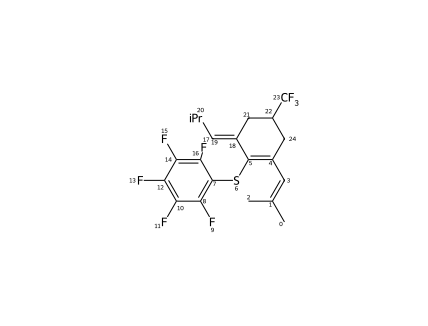 CC(C)=CC1=C(Sc2c(F)c(F)c(F)c(F)c2F)/C(=C/C(C)C)CC(C(F)(F)F)C1